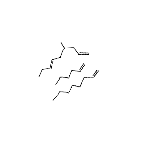 C=CCC(C)CC=CCC.C=CCCCC.C=CCCCCCC